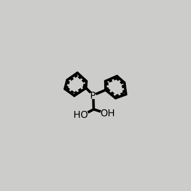 OC(O)P(c1ccccc1)c1ccccc1